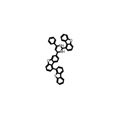 C1=C(c2ccccc2)NC(c2cccc3oc4ccccc4c23)NC1c1ccc2c(c1)oc1cccc(-c3cccc4c3sc3ccccc34)c12